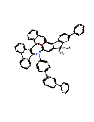 CC1(C)c2cc(-c3ccccc3)ccc2-c2ccc(N(c3ccc(-c4cccc(-c5ccccc5)c4)cc3)c3c(-c4cccc5ccccc45)c4ccccc4c4ccccc34)cc21